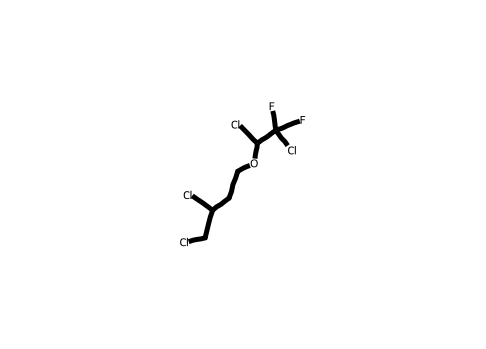 FC(F)(Cl)C(Cl)OCCC(Cl)CCl